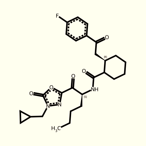 CCCC[C@H](NC(=O)C1CCCC[C@@H]1CC(=O)c1ccc(F)cc1)C(=O)c1nn(CC2CC2)c(=O)o1